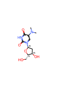 CN(C)c1cn([C@H]2C[C@@H](O)[C@H](CO)O2)c(=O)[nH]c1=O